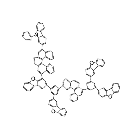 c1ccc(-n2c3ccccc3c3ccc(-c4cc5ccc6cc(-c7cc(-c8cc(-c9ccc%10oc%11ccccc%11c%10c9)cc(-c9ccc%10ccc%11c(-c%12cc(-c%13ccc%14oc%15ccccc%15c%14c%13)cc(-c%13ccc%14oc%15ccccc%15c%14c%13)c%12)cc%12ccccc%12c%11c%10c9)c8)cc8c7oc7ccccc78)c7ccccc7c6c5c5ccccc45)cc32)cc1